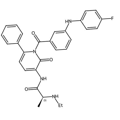 CCN[C@@H](C)C(=O)Nc1ccc(-c2ccccc2)n(C(=O)c2cccc(Nc3ccc(F)cc3)c2)c1=O